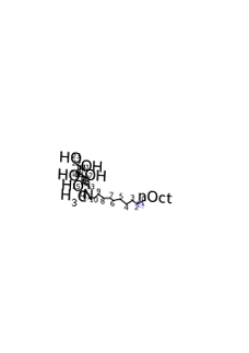 CCCCCCCC/C=C\CCCCCCCCN(C)C[C@H](O)[C@@H](O)[C@H](O)[C@H](O)CO